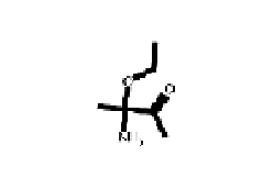 CCOC(C)(N)C(C)=O